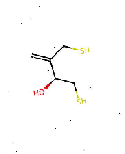 C=C(CS)[C@H](O)CS